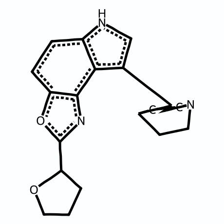 c1[nH]c2ccc3oc(C4CCCO4)nc3c2c1C1CN2CCC1CC2